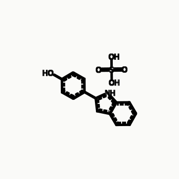 O=S(=O)(O)O.Oc1ccc(-c2cc3ccccc3[nH]2)cc1